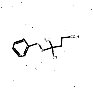 CC(C#N)(CCC(=O)O)SSc1ccccc1